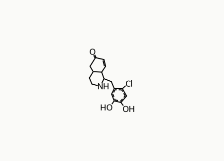 O=C1C=CC2C(CCNC2Cc2cc(O)c(O)cc2Cl)C1